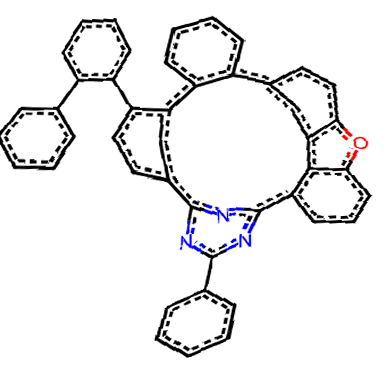 c1ccc(-c2nc3nc(n2)c2cccc4oc5ccc(cc5c42)c2ccccc2c2cc3ccc2-c2ccccc2-c2ccccc2)cc1